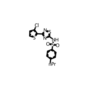 CCCc1ccc(S(=O)(=O)Nc2nc(-c3sccc3Cl)ns2)cc1